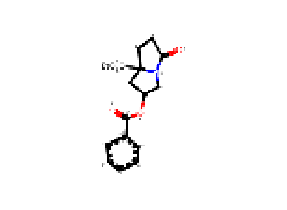 CCOC(=O)C12CCC(=O)N1CC(OC(=O)c1ccccc1)C2